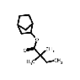 CCC(C)(C)C(=O)OC1CC2CCC1C2